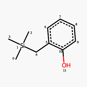 C[Si](C)(C)Cc1ccccc1O